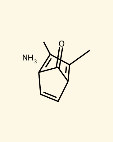 CC1=C2C=CC(=C1C)C2=O.N